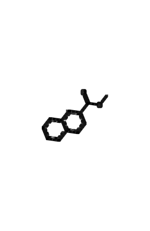 COC(=O)c1[c]c2ccccc2cc1